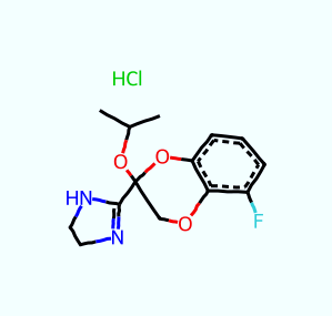 CC(C)OC1(C2=NCCN2)COc2c(F)cccc2O1.Cl